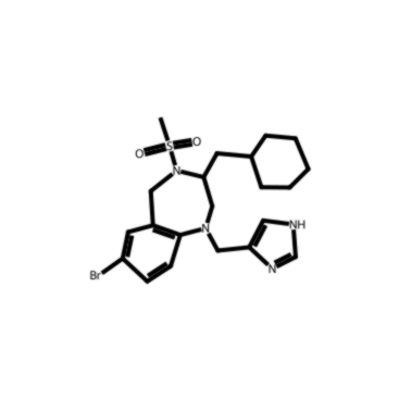 CS(=O)(=O)N1Cc2cc(Br)ccc2N(Cc2c[nH]cn2)CC1CC1CCCCC1